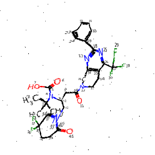 CC(C)(C)N(C(=O)O)[C@@H](CC(=O)N1CCc2c(nc(-c3ccccc3)nc2C(F)(F)F)C1)CN1CC(F)(F)CCC1=O